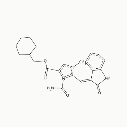 Cc1cc(C(=O)OCC2CCCCC2)n(C(N)=O)c1C=C1C(=O)Nc2ccccc21